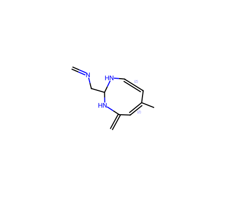 C=NCC1N/C=C\C(C)=C/C(=C)N1